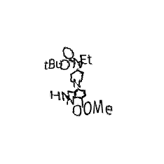 CCN(C(=O)OC(C)(C)C)C1CCN(c2ccc(C(=O)OC)c3n[nH]cc23)CC1